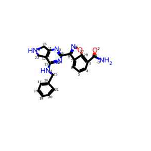 NC(=O)c1cccc2c(-c3nc4c(c(NCc5ccccc5)n3)CNC4)noc12